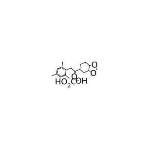 Cc1cc(C)c(CC(=O)C2CCC3OCOC3C2)c(C)c1.O=C(O)O